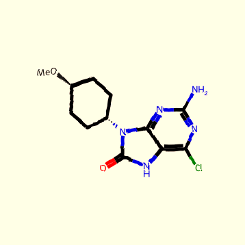 CO[C@H]1CC[C@H](n2c(=O)[nH]c3c(Cl)nc(N)nc32)CC1